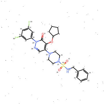 O=c1c(OC2CCCC2)c(N2CCN(S(=O)(=O)NCc3ccccc3)CC2)cnn1-c1cc(F)cc(F)c1